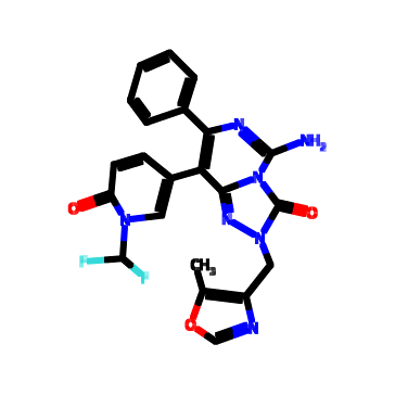 Cc1ocnc1Cn1nc2c(-c3ccc(=O)n(C(F)F)c3)c(-c3ccccc3)nc(N)n2c1=O